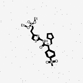 CCOP(=O)(CCc1csc(NC(=O)[C@H](CC2CCCC2)c2ccc(S(C)(=O)=O)cc2)n1)OCC